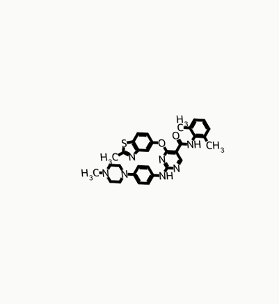 Cc1nc2cc(Oc3nc(Nc4ccc(N5CCN(C)CC5)cc4)ncc3C(=O)Nc3c(C)cccc3C)ccc2s1